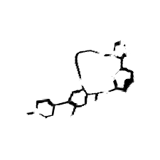 CN1CC=C(c2cc3c(cc2F)C(=O)Nc2cccc(n2)-c2nncn2CCCCO3)CC1